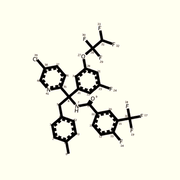 Cc1ccc(CC(NC(=O)c2ccc(F)c(C(F)(F)F)c2)(c2cc(F)cc(OC(F)(F)C(F)F)c2)c2ccc(Cl)cn2)cc1